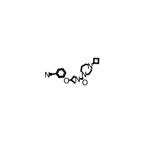 N#Cc1cccc(OC2CN(C(=O)N3CCCN(C4CCC4)CC3)C2)c1